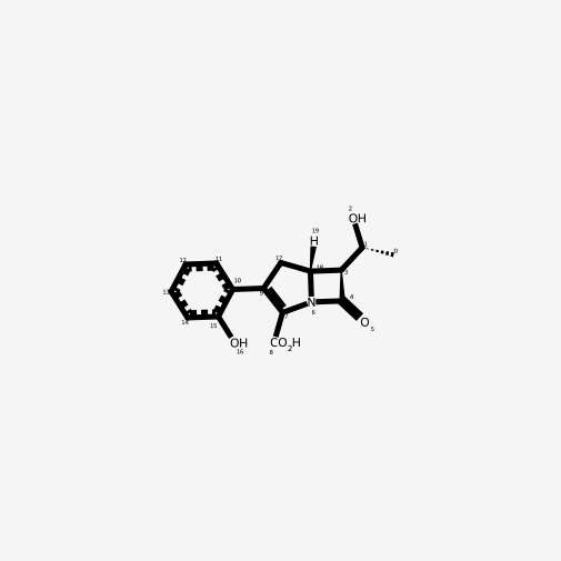 C[C@@H](O)[C@H]1C(=O)N2C(C(=O)O)=C(c3ccccc3O)C[C@H]12